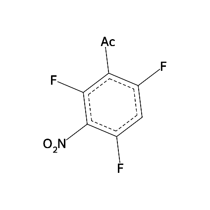 CC(=O)c1c(F)cc(F)c([N+](=O)[O-])c1F